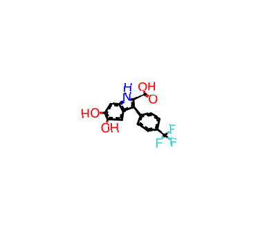 O=C(O)c1[nH]c2cc(O)c(O)cc2c1-c1ccc(C(F)(F)F)cc1